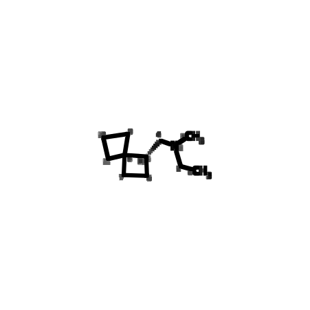 CCN(C)C[C@@H]1CCC12CCC2